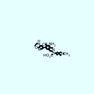 Cc1c(-c2cc3cc(N(C(=O)O)C4CC5(C4)CN(C)C5)ncc3c(N)c2F)cnc2c1NCCO2